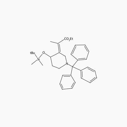 CCOC(=O)C(C)=C1CN(C(c2ccccc2)(c2ccccc2)c2ccccc2)CCC1O[Si](C)(C)C(C)(C)C